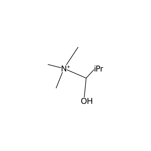 CC(C)C(O)[N+](C)(C)C